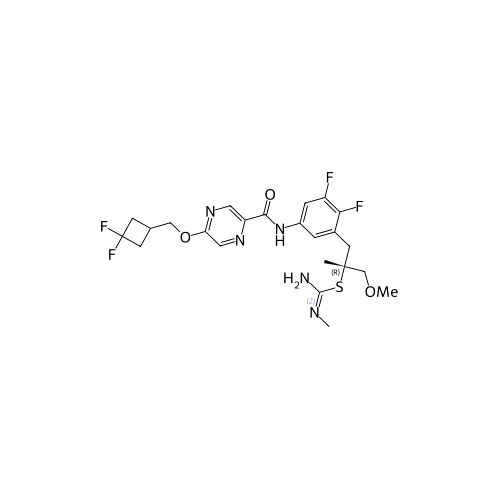 C/N=C(/N)S[C@@](C)(COC)Cc1cc(NC(=O)c2cnc(OCC3CC(F)(F)C3)cn2)cc(F)c1F